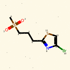 CS(=O)(=O)CC[CH]c1nc(Br)cs1